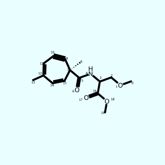 COCC(NC(=O)[C@]1(C)C#CC=C(C)C=C1)C(=O)OC